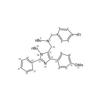 CCCCN(Cc1ccc(CC)cc1)Cc1c(-c2ccc(OC)cc2)nc(-c2ccccc2)n1CCCC